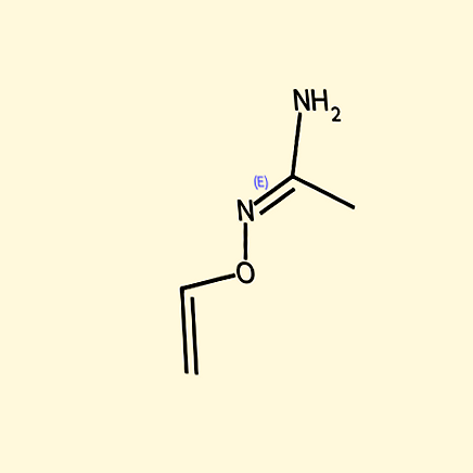 C=CO/N=C(\C)N